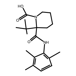 Cc1ccc(C)c(NC(=O)C2(C(C)(C)C)CCCCN2C(=O)O)c1C